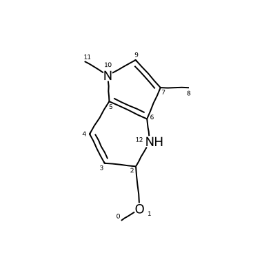 COC1C=Cc2c(c(C)cn2C)N1